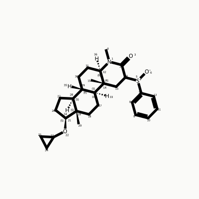 CN1C(=O)C([S+]([O-])c2ccccc2)C[C@]2(C)[C@H]3CC[C@]4(C)[C@@H](OC5CC5)CC[C@H]4[C@@H]3CC[C@@H]12